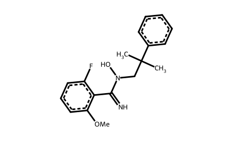 COc1cccc(F)c1C(=N)N(O)CC(C)(C)c1ccccc1